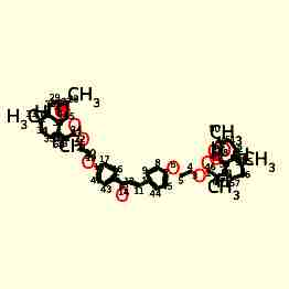 C[C@H]1[C@@H](OCCOc2ccc(/C=C/C(=O)c3ccc(OCCO[C@H]4O[C@@H]5O[C@@]6(C)CC[C@H]7[C@H](C)CC[C@@H]([C@H]4C)[C@@]57OO6)cc3)cc2)O[C@@H]2O[C@@]3(C)CC[C@H]4[C@H](C)CC[C@@H]1[C@@]24OO3